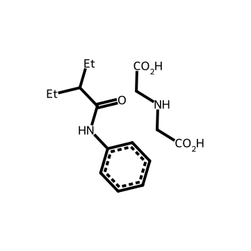 CCC(CC)C(=O)Nc1ccccc1.O=C(O)CNCC(=O)O